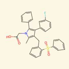 Cc1c(Cc2ccccc2S(=O)(=O)c2ccccc2)c(-c2cccc(F)c2)c(-c2ccccc2)n1CC(=O)O